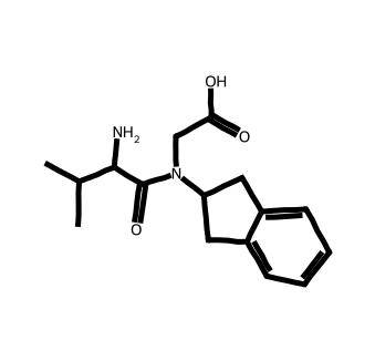 CC(C)C(N)C(=O)N(CC(=O)O)C1Cc2ccccc2C1